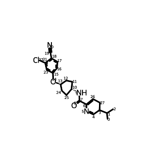 CC(C)C1C=NC(C(=O)N[C@H]2CC[C@H](Oc3ccc(C#N)c(Cl)c3)CC2)=CC1